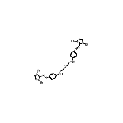 CCn1cc[n+](CC)c1N=Nc1ccc(NCCOCCNc2ccc(N=Nc3n(CC)cc[n+]3CC)cc2)cc1